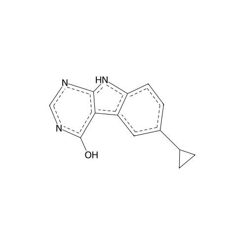 Oc1ncnc2[nH]c3ccc(C4CC4)cc3c12